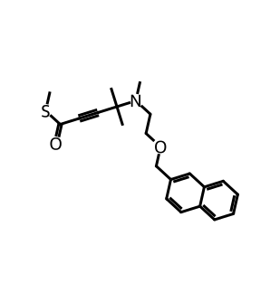 CSC(=O)C#CC(C)(C)N(C)CCOCc1ccc2ccccc2c1